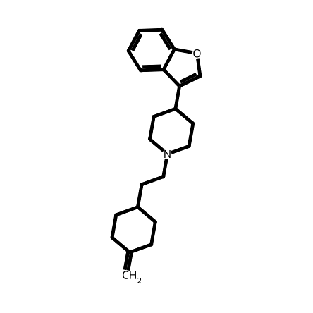 C=C1CCC(CCN2CCC(c3coc4ccccc34)CC2)CC1